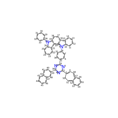 C1=C(c2nc(-c3ccc(-n4c5ccccc5c5ccc6c(c7ccccc7n6-c6ccccc6)c54)cc3)nc(-c3ccc4ccccc4c3)n2)CC=c2ccccc2=C1